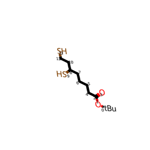 CC(C)(C)OC(=O)CCCCC(S)CCS